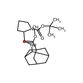 COC(=O)C12CC3CC(C1)C(NCC1CCCN1C(=O)OC(C)(C)C)C(C3)C2